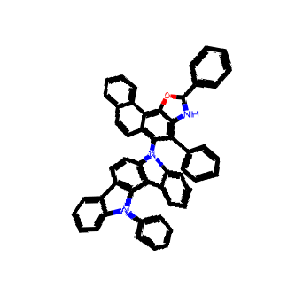 c1ccc(-c2c3c(c4c(ccc5ccccc54)c2-n2c4ccccc4c4c2ccc2c5ccccc5n(-c5ccccc5)c24)OC(c2ccccc2)N3)cc1